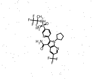 CC(C)(NS(=O)(=O)c1ccc(-c2c(C(N)=O)c3cc(C(F)(F)F)cnc3n2C2CCCC2)nc1)C(F)(F)F